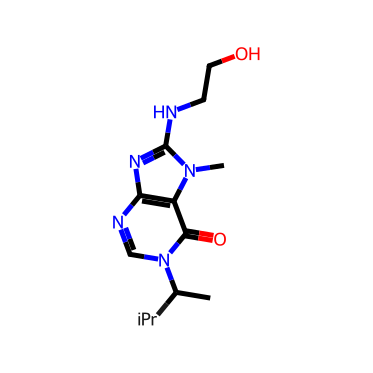 CC(C)C(C)n1cnc2nc(NCCO)n(C)c2c1=O